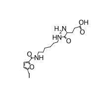 NC(CCC(=O)O)C(=O)NCCCCCCNC(=O)c1ccc(I)o1